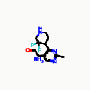 Cc1ncc(CC=O)c(C2CCNCC2(F)F)n1.N